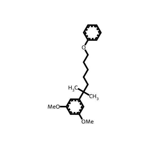 COc1cc(OC)cc(C(C)(C)CCCCCOc2ccccc2)c1